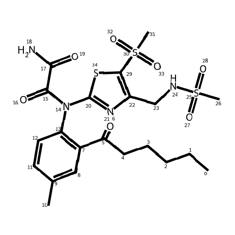 CCCCCC(=O)c1cc(C)ccc1N(C(=O)C(N)=O)c1nc(CNS(C)(=O)=O)c(S(C)(=O)=O)s1